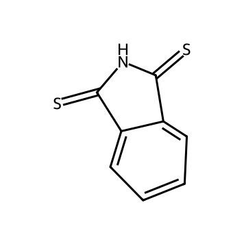 S=C1NC(=S)c2ccccc21